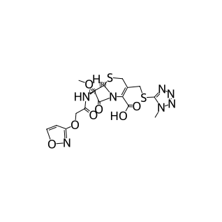 CO[C@@]1(NC(=O)COc2ccon2)C(=O)N2C(C(=O)O)=C(CSc3nnnn3C)CS[C@@H]21